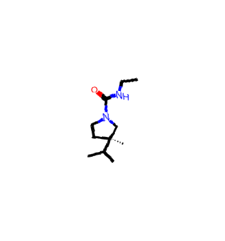 CCNC(=O)N1CC[C@](C)(C(C)C)C1